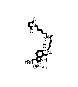 CN(CCCCN(C)C(=O)CCCCCN1C(=O)C=CC1=O)Cc1c(O)ccc2c(CC(C)(C)C)c([S@+]([O-])C(C)(C)C)[nH]c12